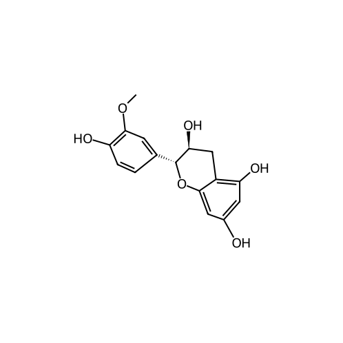 COc1cc([C@H]2Oc3cc(O)cc(O)c3C[C@@H]2O)ccc1O